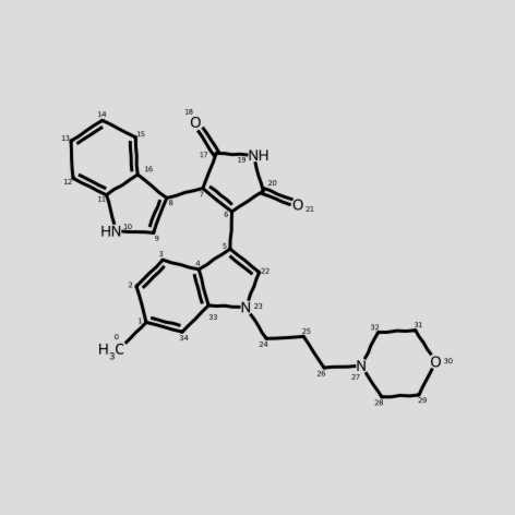 Cc1ccc2c(C3=C(c4c[nH]c5ccccc45)C(=O)NC3=O)cn(CCCN3CCOCC3)c2c1